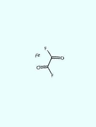 O=C(F)C(=O)F.[Fe]